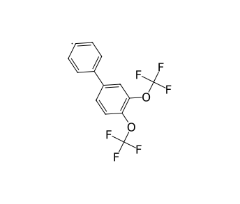 FC(F)(F)Oc1ccc(-c2cc[c]cc2)cc1OC(F)(F)F